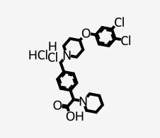 Cl.Cl.O=C(O)C(c1ccc(CN2CCC(Oc3ccc(Cl)c(Cl)c3)CC2)cc1)N1CCCCC1